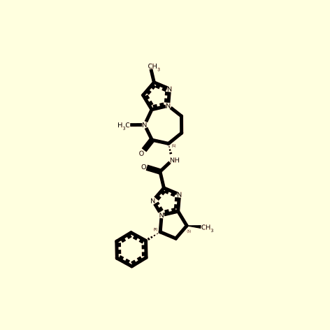 Cc1cc2n(n1)CC[C@H](NC(=O)c1nc3n(n1)[C@@H](c1ccccc1)C[C@@H]3C)C(=O)N2C